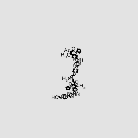 CC(=O)c1c(C)c2cnc(Nc3cnc(N4CCN(CCN(C)CCC(=O)c5c(C)c6cnc(Nc7cnc(N8CCN(CCO)CC8)cn7)cc6n(C6CCCC6)c5=O)CC4)cn3)cc2n(C2CCCC2)c1=O